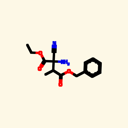 CCOC(=O)C(N)(C#N)C(C)C(=O)OCc1ccccc1